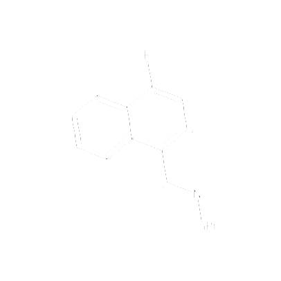 CCC[N]Cc1ccc(F)c2ccccc12